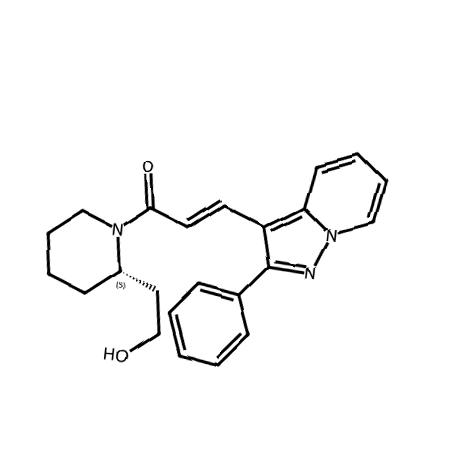 O=C(C=Cc1c(-c2ccccc2)nn2ccccc12)N1CCCC[C@H]1CCO